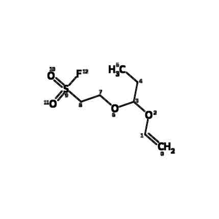 C=COC(CC)OCCS(=O)(=O)F